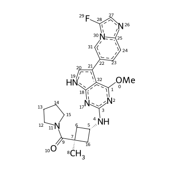 COc1nc(N[C@H]2C[C@](C)(C(=O)N3CCCC3)C2)nc2[nH]cc(-c3ccc4ncc(F)n4c3)c12